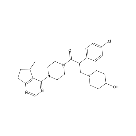 CC1CCc2ncnc(N3CCN(C(=O)C(CN4CCC(O)CC4)c4ccc(Cl)cc4)CC3)c21